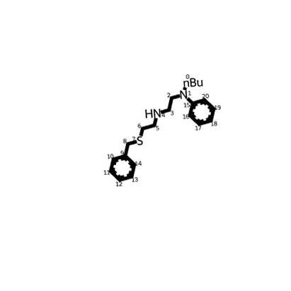 CCCCN(CCNCCSCc1ccccc1)c1ccccc1